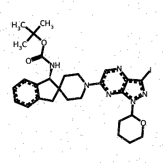 CC(C)(C)OC(=O)N[C@@H]1c2ccccc2CC12CCN(c1cnc3c(I)nn(C4CCCCO4)c3n1)CC2